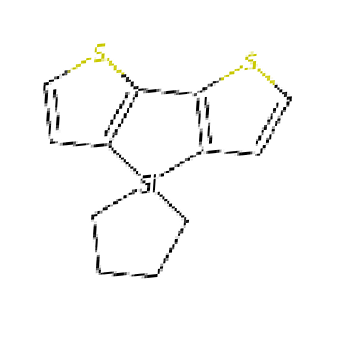 c1cc2c(s1)-c1sccc1[Si]21CCCC1